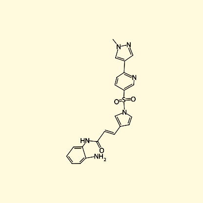 Cn1cc(-c2ccc(S(=O)(=O)n3ccc(C=CC(=O)Nc4ccccc4N)c3)cn2)cn1